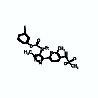 CCN(C(=O)Oc1cccc(F)c1)c1c(-c2ccc(NS(C)(=O)=O)c(C)n2)nnn1C